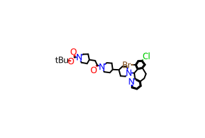 CC(C)(C)OC(=O)N1CCC(CC(=O)N2CCC(C3CCN(C4c5ncccc5CCc5cc(Cl)cc(Br)c54)CC3)CC2)CC1